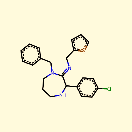 Clc1ccc(C2NCCCN(Cc3ccccc3)/C2=N\Cc2cccs2)cc1